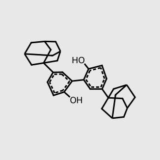 Oc1ccc(C23CC4CC(CC(C4)C2)C3)cc1-c1cc(C23CC4CC(CC(C4)C2)C3)ccc1O